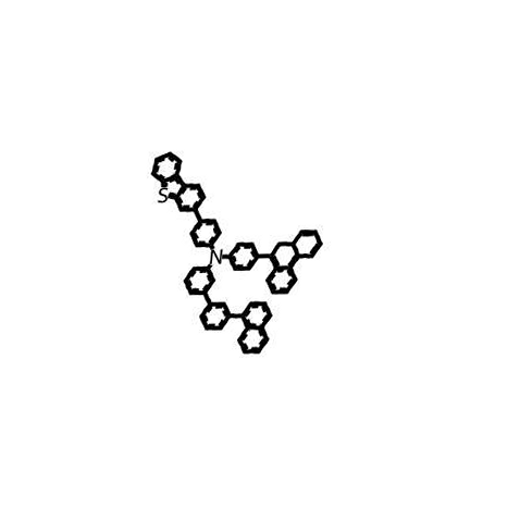 C1=CC2=c3ccccc3=C(c3ccc(N(c4ccc(-c5ccc6c(c5)sc5ccccc56)cc4)c4cccc(-c5cccc(-c6cccc7ccccc67)c5)c4)cc3)CC2C=C1